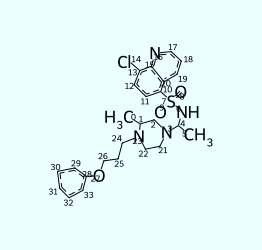 CC1CN(C(C)NS(=O)(=O)c2ccc(Cl)c3ncccc23)CCN1CCCOc1ccccc1